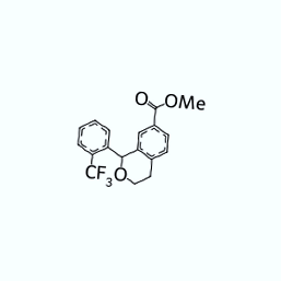 COC(=O)c1ccc2c(c1)C(c1ccccc1C(F)(F)F)OCC2